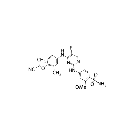 COc1cc(Nc2ncc(F)c(Nc3ccc(OC(C)C#N)c(C)c3)n2)ccc1S(N)(=O)=O